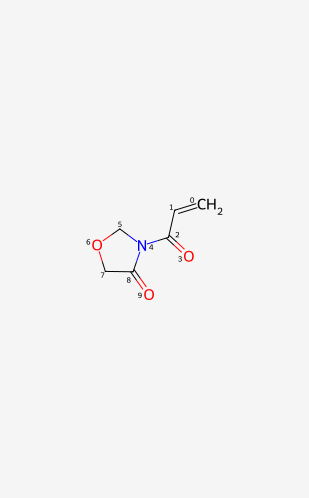 C=CC(=O)N1COCC1=O